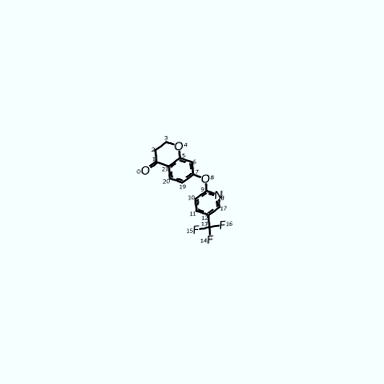 O=C1CCOc2cc(Oc3ccc(C(F)(F)F)cn3)ccc21